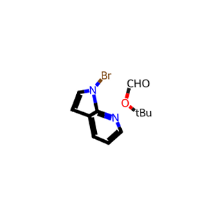 Brn1ccc2cccnc21.CC(C)(C)OC=O